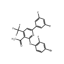 CC(=O)c1c(C(F)(F)F)cc(-c2cc(F)cc(F)c2)nc1Oc1ccc(Br)cc1F